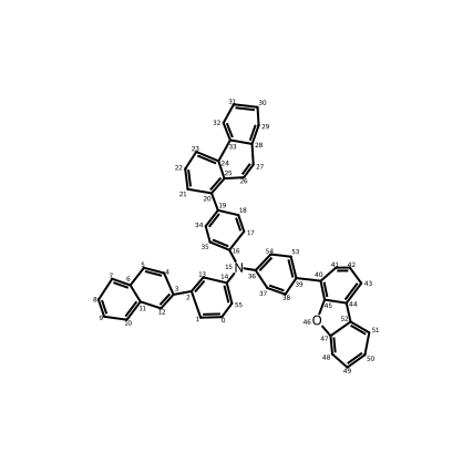 c1cc(-c2ccc3ccccc3c2)cc(N(c2ccc(-c3cccc4c3ccc3ccccc34)cc2)c2ccc(-c3cccc4c3oc3ccccc34)cc2)c1